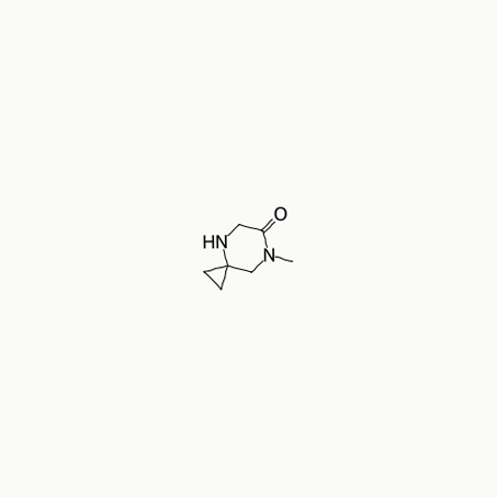 CN1CC2(CC2)NCC1=O